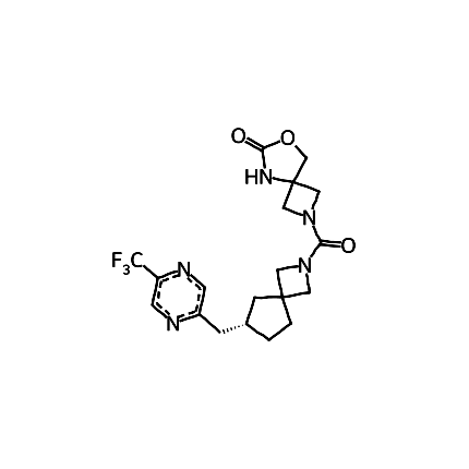 O=C1NC2(CO1)CN(C(=O)N1CC3(CC[C@H](Cc4cnc(C(F)(F)F)cn4)C3)C1)C2